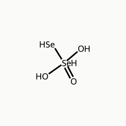 O=[SeH](O)(O)[SeH]